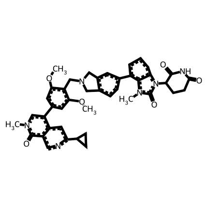 COc1cc(-c2cn(C)c(=O)c3cnc(C4CC4)cc23)cc(OC)c1CN1Cc2ccc(-c3cccc4c3n(C)c(=O)n4C3CCC(=O)NC3=O)cc2C1